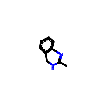 CC1=Nc2ccccc2CN1